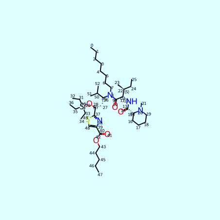 CCCCCCCCN(C(=O)[C@@H](NC(=O)[C@H]1CCCCN1C)[C@@H](C)CC)[C@H](C[C@@H](O[Si](CC)(CC)CC)c1nc(C(=O)OCCCCC)cs1)C(C)C